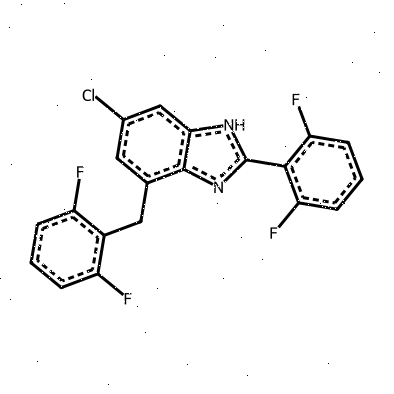 Fc1cccc(F)c1Cc1cc(Cl)cc2[nH]c(-c3c(F)cccc3F)nc12